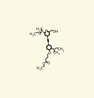 CCOC(=O)CCCOc1ccc(C#Cc2cc(CO)nc(P(C)OCC)c2)cc1N(C)CC